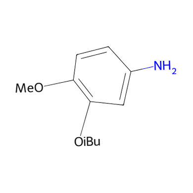 COc1ccc(N)cc1OCC(C)C